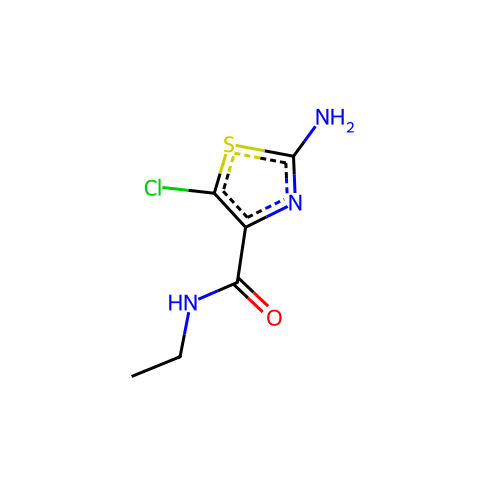 CCNC(=O)c1nc(N)sc1Cl